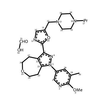 COc1ncc(-n2nc(-c3ncc(CN4CCN(C(C)C)CC4)o3)c3c2CCOCC3)cc1C.O=CO